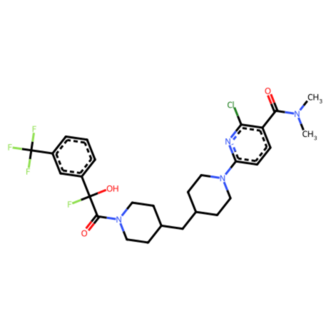 CN(C)C(=O)c1ccc(N2CCC(CC3CCN(C(=O)C(O)(F)c4cccc(C(F)(F)F)c4)CC3)CC2)nc1Cl